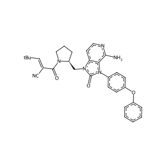 CC(C)(C)C=C(C#N)C(=O)N1CCC[C@H]1Cn1c(=O)n(-c2ccc(Oc3ccccc3)cc2)c2c(N)nccc21